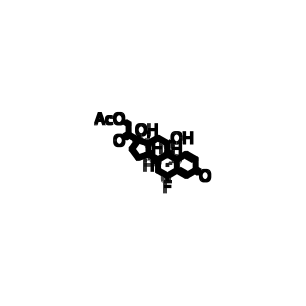 CC(=O)OCC(=O)[C@@]1(O)CC[C@H]2[C@@H]3C[C@H](F)C4=CC(=O)C=C[C@]4(C)[C@H]3[C@@H](O)C[C@@]21C